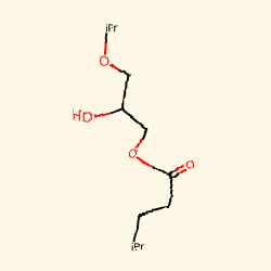 CC(C)CCC(=O)OCC(O)COC(C)C